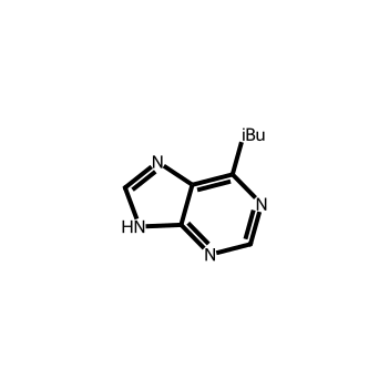 CCC(C)c1ncnc2[nH]cnc12